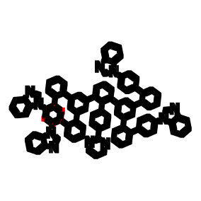 c1cnc(-c2ccc(-c3c(-c4cc(-c5ccccc5-c5ccc(-n6cnc7ccccc76)cc5)cc(-c5ccccc5-c5ccc(-n6cnc7ccccc76)cc5)c4)cccc3-c3cc(-c4ccccc4-c4ccc(-n5cnc6ccccc65)cc4)cc(-c4ccccc4-c4ccc(-n5cnc6ccccc65)cc4)c3)cc2)nc1